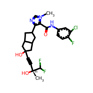 Cn1cnc(C2CC3CC(O)(C#C[C@@](C)(O)C(F)F)CC3C2)c1C(=O)Nc1ccc(F)c(Cl)c1